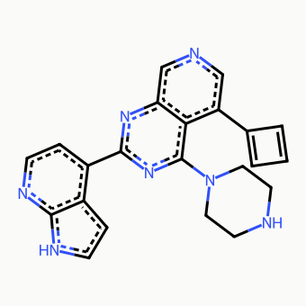 C1=CC(c2cncc3nc(-c4ccnc5[nH]ccc45)nc(N4CCNCC4)c23)=C1